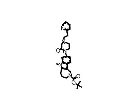 Cn1c2c(c3ccc(N4CCN(CCc5ccccn5)CC4=O)cc31)CN(C(=O)OC(C)(C)C)CCC2